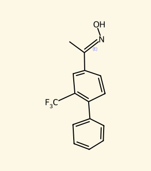 C/C(=N\O)c1ccc(-c2ccccc2)c(C(F)(F)F)c1